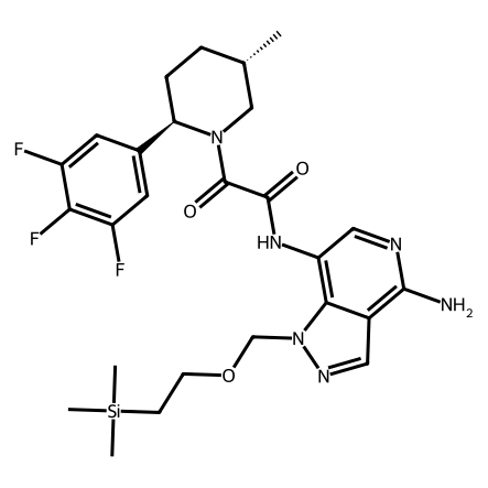 C[C@H]1CC[C@H](c2cc(F)c(F)c(F)c2)N(C(=O)C(=O)Nc2cnc(N)c3cnn(COCC[Si](C)(C)C)c23)C1